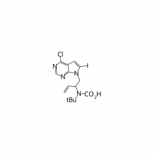 C=CC(Cn1c(I)cc2c(Cl)ncnc21)N(C(=O)O)C(C)(C)C